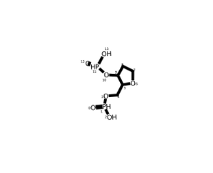 O=[PH](O)OCC1OCCC1O[PH](=O)O